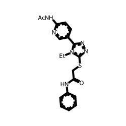 CCn1c(SCC(=O)Nc2ccccc2)nnc1-c1ccc(NC(C)=O)nc1